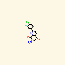 NC1=CC(=O)c2ccc(-c3ccc(Cl)c(F)c3)nc2C1=O